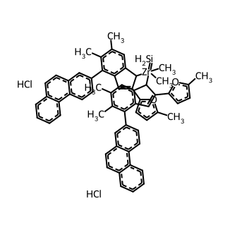 Cc1ccc(C2=Cc3c(cc(C)c(C)c3-c3ccc4c(ccc5ccccc54)c3)[CH]2[Zr]([CH3])([CH3])(=[SiH2])[CH]2C(c3ccc(C)o3)=Cc3c2cc(C)c(C)c3-c2ccc3c(ccc4ccccc43)c2)o1.Cl.Cl